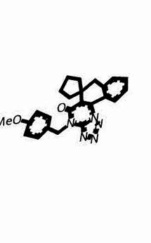 COc1ccc(Cn2c(=O)c3c(n4nnnc24)-c2ccccc2CC32CCCC2)cc1